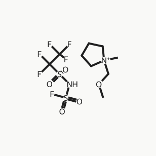 COC[N+]1(C)CCCC1.O=S(=O)(F)NS(=O)(=O)C(F)(F)C(F)(F)F